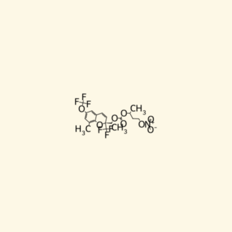 Cc1cc(OC(F)(F)F)cc2c1O[C@@](C(C)OC(=O)OC(C)CCO[N+](=O)[O-])(C(F)(F)F)C=C2